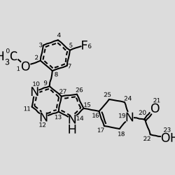 COc1ccc(F)cc1-c1ncnc2[nH]c(C3=CCN(C(=O)CO)CC3)cc12